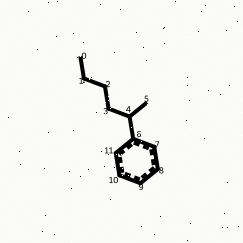 C[CH]CCC(C)c1ccccc1